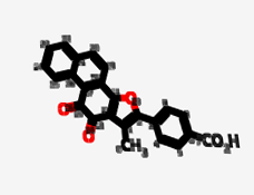 Cc1c(-c2ccc(C(=O)O)cc2)oc2c1C(=O)C(=O)c1c-2ccc2ccccc12